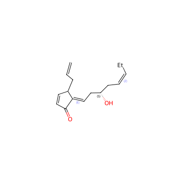 C=CCC1C=CC(=O)/C1=C/C[C@@H](O)C/C=C\CC